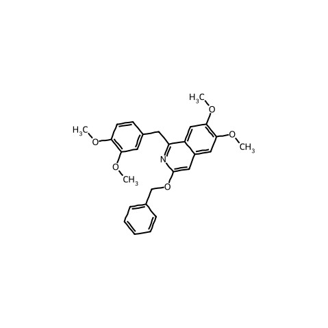 COc1ccc(Cc2nc(OCc3ccccc3)cc3cc(OC)c(OC)cc23)cc1OC